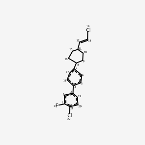 Fc1cc(-c2ccc(C3CCC(/C=C/Cl)CC3)cc2)ccc1Cl